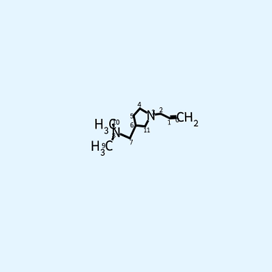 C=CCN1CCC(CN(C)C)C1